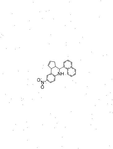 O=[N+]([O-])c1ccc2c(c1)C1C=CCC1C(c1cccc3ccccc13)N2